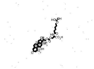 C[C@@H]1C[C@H]2[C@@H]3CCC4=CC(=O)C=C[C@]4(C)[C@@]3(F)[C@@H](O)C[C@]2(C)[C@@]1(O)C(=O)COC(=O)OCC(NC(=O)CCCCCON(O)O)C(=O)O